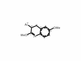 COC1=Nc2ccc(OC)cc2CC1C(C)=O